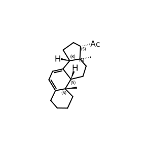 CC(=O)[C@H]1CC[C@H]2C3=CC=C4CCCC[C@@]4(C)[C@H]3CC[C@]12C